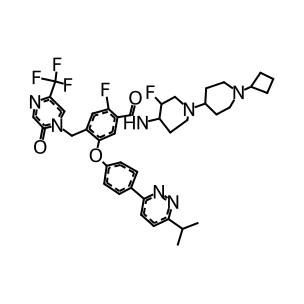 CC(C)c1ccc(-c2ccc(Oc3cc(C(=O)NC4CCN(C5CCN(C6CCC6)CC5)CC4F)c(F)cc3Cn3cc(C(F)(F)F)ncc3=O)cc2)nn1